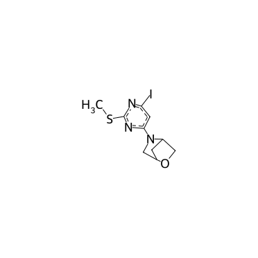 CSc1nc(I)cc(N2CC3CC2CO3)n1